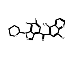 Nc1c(C(=O)c2cc(F)c(F)c3c2cnn3C2CCCCO2)cc(Br)c2ncccc12